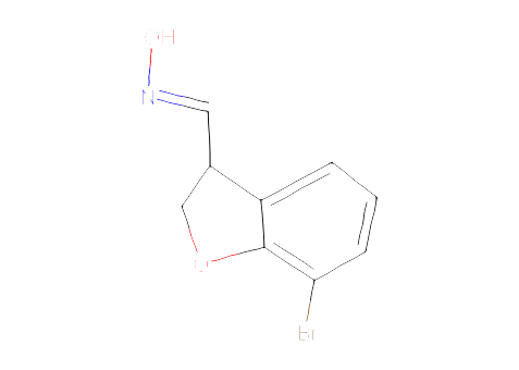 ON=CC1COc2c(Br)cccc21